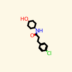 O=C(CCc1ccc(Cl)cc1)N[C@H]1CC[C@H](O)CC1